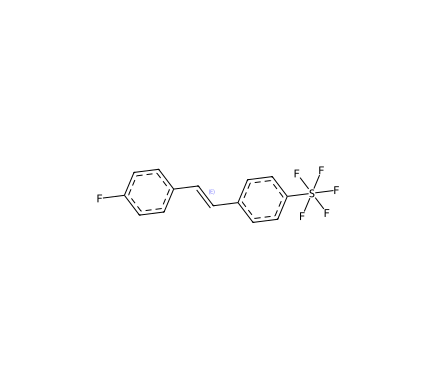 Fc1ccc(/C=C/c2ccc(S(F)(F)(F)(F)F)cc2)cc1